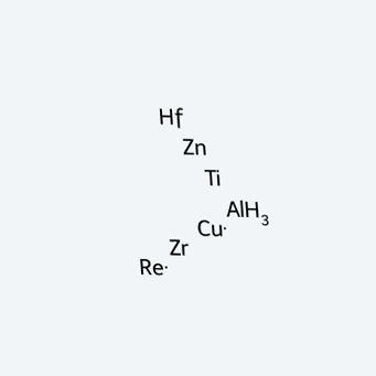 [AlH3].[Cu].[Hf].[Re].[Ti].[Zn].[Zr]